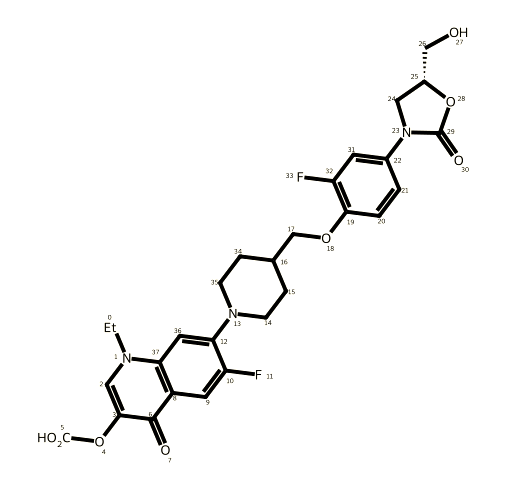 CCn1cc(OC(=O)O)c(=O)c2cc(F)c(N3CCC(COc4ccc(N5C[C@H](CO)OC5=O)cc4F)CC3)cc21